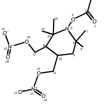 CCC(=O)ON1C(C)(C)CC(CO[N+](=O)[O-])C(CO[N+](=O)[O-])C1(C)C